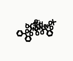 COC1=C(C(=O)OC(c2ccccc2)c2ccccc2)N2C(=O)[C@@H](NC(=O)C(NC(=O)OC(C)(C)C)c3ccccc3)[C@@H]2[S+]([O-])C1